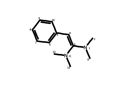 CN(C)C(=Cc1ccccc1)N(C)C